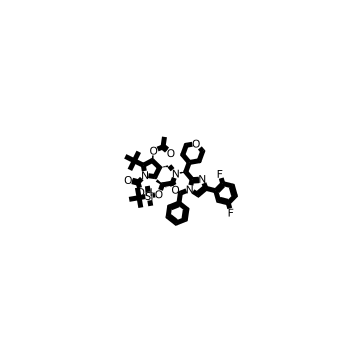 CC(=O)O[C@H]1C(C(C)(C)C)N(C(=O)O)C[C@H]1CN(C(=O)[C@H](C)O[Si](C)(C)C(C)(C)C)[C@@H](c1nc(-c2cc(F)ccc2F)cn1Cc1ccccc1)C1CCOCC1